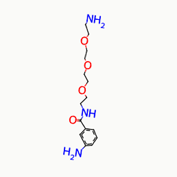 NCCOCCOCCOCCNC(=O)c1cccc(N)c1